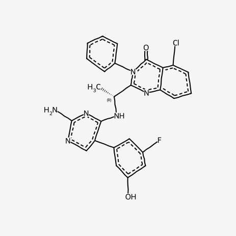 C[C@@H](Nc1nc(N)ncc1-c1cc(O)cc(F)c1)c1nc2cccc(Cl)c2c(=O)n1-c1ccccc1